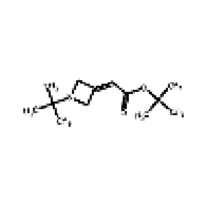 CC(C)(C)OC(=O)C=C1CN(C(C)(C)C)C1